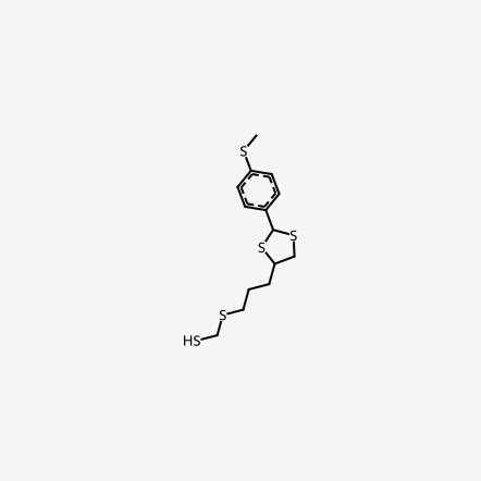 CSc1ccc(C2SCC(CCCSCS)S2)cc1